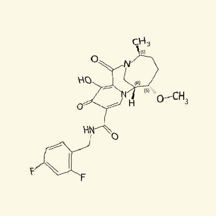 CO[C@H]1CC[C@H](C)N2C[C@H]1n1cc(C(=O)NCc3ccc(F)cc3F)c(=O)c(O)c1C2=O